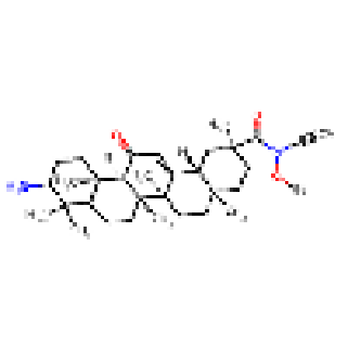 C#CN(OCC)C(=O)[C@@]1(C)CC[C@]2(C)CC[C@]3(C)C(=CC(=O)[C@@H]4[C@@]5(C)CC[C@H](N)C(C)(C)C5CC[C@]43C)[C@@H]2C1